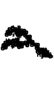 COc1c(N2CC3CCCN(Cc4oc(=O)oc4C)C3C2)c(F)cc2c(=O)c(C(=O)OCOC(=O)OCC(COC(=O)OCOC(=O)c3cn(C4CC4)c4c(OC)c(N5CC6CCCN(Cc7oc(=O)oc7C)C6C5)c(F)cc4c3=O)OC(=O)CCC(=O)OCC(=O)[C@@]34CC[C@H]5[C@@H]6CCC7=CC(=O)CC[C@]7(C)C6[C@@H](O)C[C@@]53O4)cn(C3CC3)c12